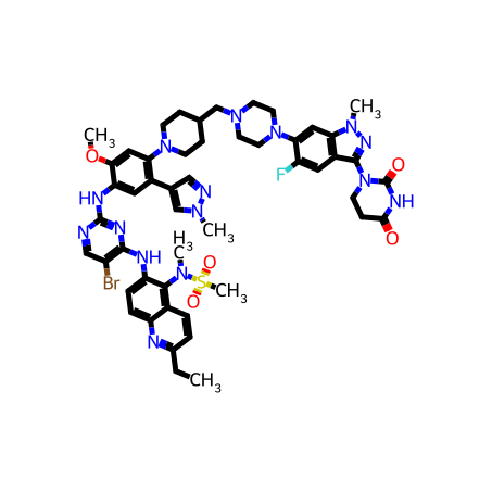 CCc1ccc2c(N(C)S(C)(=O)=O)c(Nc3nc(Nc4cc(-c5cnn(C)c5)c(N5CCC(CN6CCN(c7cc8c(cc7F)c(N7CCC(=O)NC7=O)nn8C)CC6)CC5)cc4OC)ncc3Br)ccc2n1